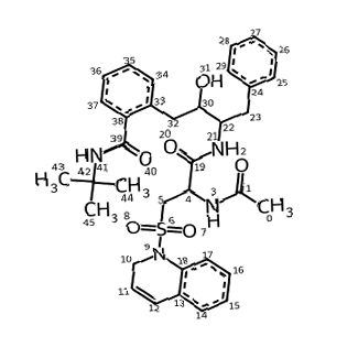 CC(=O)NC(CS(=O)(=O)N1CC=Cc2ccccc21)C(=O)NC(Cc1ccccc1)C(O)Cc1ccccc1C(=O)NC(C)(C)C